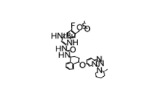 C[C@H]1CCCCN1c1nnc2ccc(OC3CCC(NC(=O)N/C(=C/C(=N)C(C)(C)C)Nc4ccc(F)c(COS(C)=O)c4)c4ccccc43)cn12